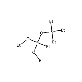 CCO[Si](CC)(OCC)O[Si](CC)(CC)CC